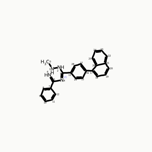 CNN/C(=N\C(=N)c1ccccc1)c1ccc(-c2cccc3ccccc23)cc1